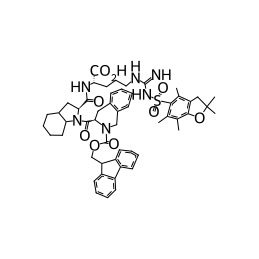 Cc1c(C)c(S(=O)(=O)NC(=N)NCCC[C@H](NC(=O)[C@@H]2CC3CCCCC3N2C(=O)[C@H]2Cc3ccccc3CN2C(=O)OCC2c3ccccc3-c3ccccc32)C(=O)O)c(C)c2c1OC(C)(C)C2